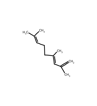 C=C(C)/C=C(\C)CCC=C(C)C